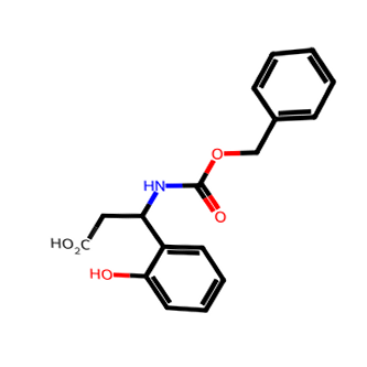 O=C(O)CC(NC(=O)OCc1ccccc1)c1ccccc1O